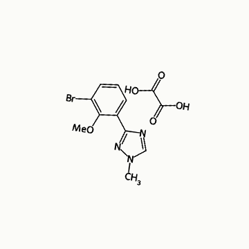 COc1c(Br)cccc1-c1ncn(C)n1.O=C(O)C(=O)O